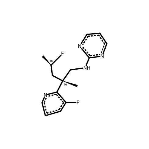 C[C@@H](F)C[C@](C)(CNc1ncccn1)c1ncccc1F